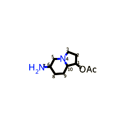 CC(=O)OC1CCN2CC(N)CCC12